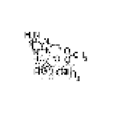 CCOC=Cc1nc2c(N)ncnc2n1[C@@H]1O[C@H](C(O)C(C)=O)[C@](O)(C(C)=O)[C@]1(O)C(C)=O